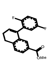 COC(=O)c1ccc2c(c1)C(c1cc(F)ccc1F)=CCC2